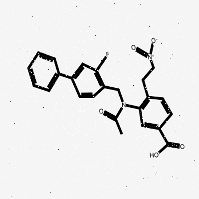 CC(=O)N(Cc1ccc(-c2ccccc2)cc1F)c1cc(C(=O)O)ccc1CC[N+](=O)[O-]